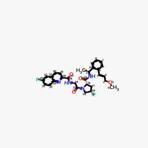 COC/C=C/c1ccccc1[C@H](C)NC(=O)[C@@H]1C[C@@H](F)CN1C(=O)CNC(=O)c1ccc2cc(F)ccc2n1